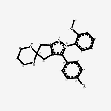 COc1ccccc1-n1nc2c(c1-c1ccc(Cl)cc1)CC1(C2)OCCCO1